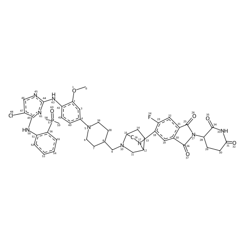 COc1cc(N2CCC(CN3CC4CCC3CN4c3cc4c(cc3F)C(=O)N(C3CCC(=O)NC3=O)C4=O)CC2)ccc1Nc1ncc(Cl)c(Nc2ccccc2P(C)(C)=O)n1